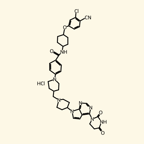 Cl.N#Cc1ccc(OC2CCC(NC(=O)c3ccc(N4CCC(CN5CCC(n6ccc7c(N8CCC(=O)NC8=O)ncnc76)CC5)CC4)cc3)CC2)cc1Cl